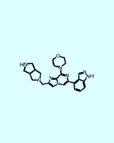 c1cc(-c2cn3cc(CN4CC5CNCC5C4)nc3c(N3CCOCC3)n2)c2cn[nH]c2c1